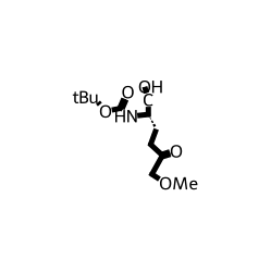 COCC(=O)CC[C@@H](CO)NC(=O)OC(C)(C)C